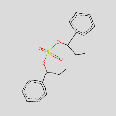 CCC(OS(=O)(=O)OC(CC)c1ccccc1)c1ccccc1